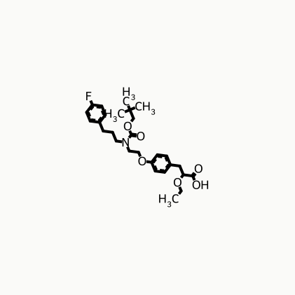 CCOC(Cc1ccc(OCCN(CCCc2ccc(F)cc2)C(=O)OCC(C)(C)C)cc1)C(=O)O